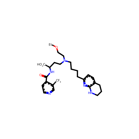 CCOCCN(CCCCc1ccc2c(n1)NCCC2)CCC(NC(=O)c1ccncc1C(F)(F)F)C(=O)O